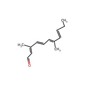 CCC=CC(C)=CC=CC(C)=CC=O